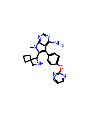 Cn1c(C2NCC23CCC3)c(-c2ccc(Oc3ncccn3)cc2)c2c(N)ncnc21